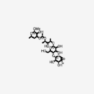 CO[C@@H]1OC(C)CC(O[C@@H](C)OC(C)[C@H](O)C(C)O[C@@H]2OC(CO)[C@@H](O[C@H]3OC4O[C@@H]4C(O)C3O)C(O)C2O)C1O